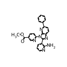 COC(=O)c1ccc(-n2c(-c3cccnc3N)nc3ccc(-c4ccccc4)nc32)nc1